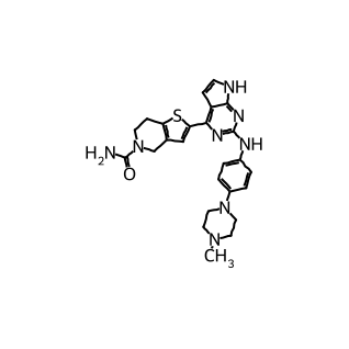 CN1CCN(c2ccc(Nc3nc(-c4cc5c(s4)CCN(C(N)=O)C5)c4cc[nH]c4n3)cc2)CC1